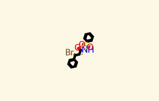 O=C([CH]C(Br)c1ccccc1)NS(=O)(=O)c1ccccc1